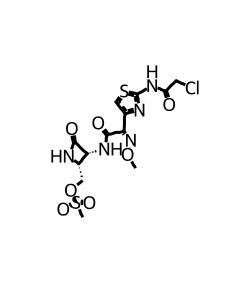 CON=C(C(=O)N[C@H]1C(=O)N[C@H]1COS(C)(=O)=O)c1csc(NC(=O)CCl)n1